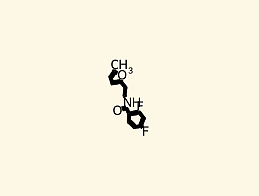 Cc1ccc(CCNC(=O)c2ccc(F)cc2F)o1